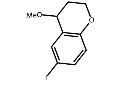 COC1CCOc2ccc(I)cc21